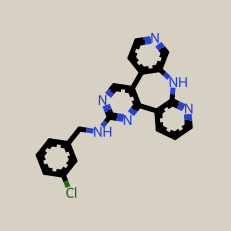 Clc1cccc(CNc2ncc3c(n2)-c2cccnc2Nc2cnccc2-3)c1